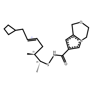 C[C@@H](C/C=C/CC1CCC1)[C@@H](C)SNC(=O)c1cc2n(c1)CCOC2